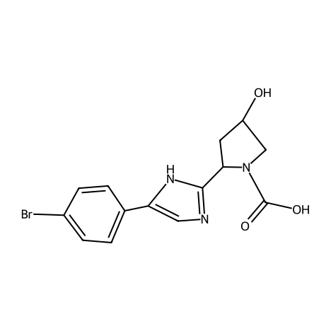 O=C(O)N1CC(O)CC1c1ncc(-c2ccc(Br)cc2)[nH]1